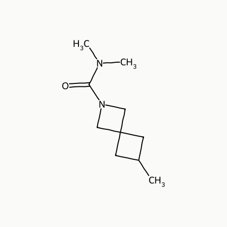 CC1CC2(C1)CN(C(=O)N(C)C)C2